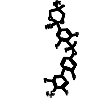 CCCC1(C)COC(O)(c2cc(F)c(C(F)(F)Oc3ccc(-c4cc(F)c(C(F)(F)F)c(F)c4)c(F)c3)c(F)c2)OC1